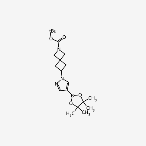 CC(C)(C)OC(=O)N1CC2(CC(n3cc(B4OC(C)(C)C(C)(C)O4)cn3)C2)C1